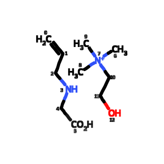 C=CCNCC(=O)O.C[N+](C)(C)CCO